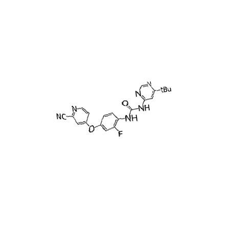 CC(C)(C)c1cc(NC(=O)Nc2ccc(Oc3ccnc(C#N)c3)cc2F)ncn1